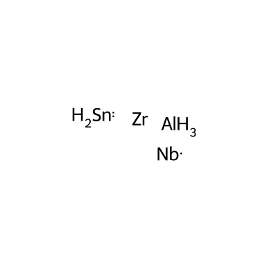 [AlH3].[Nb].[SnH2].[Zr]